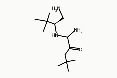 CC(C)(C)CC(=O)C(N)N[C@H](CN)C(C)(C)C